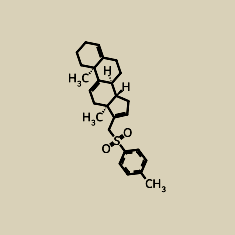 Cc1ccc(S(=O)(=O)CC2=CC[C@H]3[C@@H]4CCC5=CCCC[C@]5(C)C4=CC[C@]23C)cc1